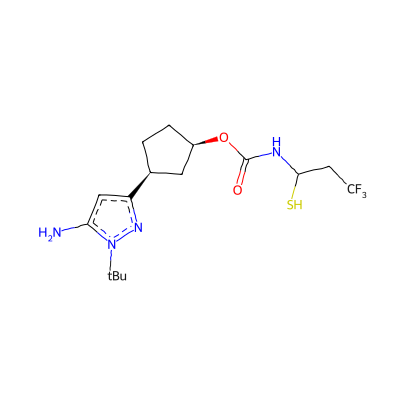 CC(C)(C)n1nc([C@H]2CC[C@@H](OC(=O)NC(S)CC(F)(F)F)C2)cc1N